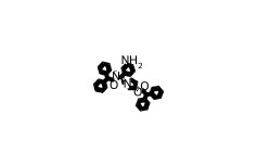 CN(C(=O)C(c1ccccc1)c1ccccc1)[C@H](CN1CC[C@H](OC(=O)C(c2ccccc2)c2ccccc2)C1)c1cccc(N)c1